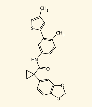 Cc1csc(-c2cc(NC(=O)C3(c4ccc5c(c4)OCO5)CC3)ccc2C)c1